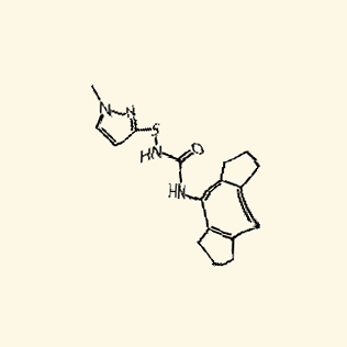 Cn1ccc(SNC(=O)Nc2c3c(cc4c2CCC4)CCC3)n1